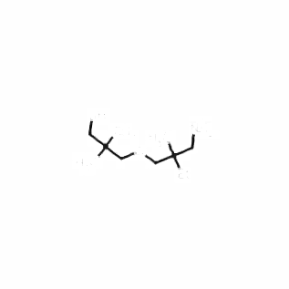 CCC(C)(CN)COCC(C)(C)CO